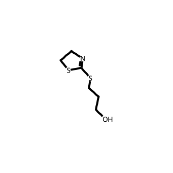 OCCCSC1=NCCS1